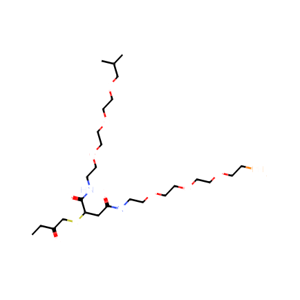 CCC(=O)CSC(CC(=O)NCCOCCOCCOCCP)C(=O)NCCOCCOCCOCC(C)C